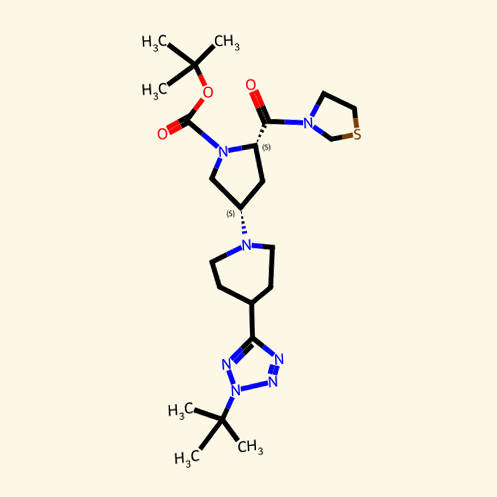 CC(C)(C)OC(=O)N1C[C@@H](N2CCC(c3nnn(C(C)(C)C)n3)CC2)C[C@H]1C(=O)N1CCSC1